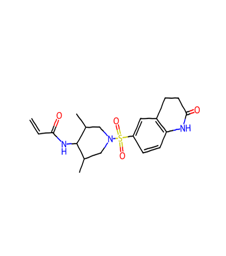 C=CC(=O)NC1C(C)CN(S(=O)(=O)c2ccc3c(c2)CCC(=O)N3)CC1C